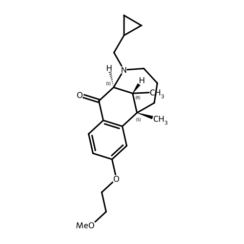 COCCOc1ccc2c(c1)[C@@]1(C)CCCN(CC3CC3)[C@H](C2=O)[C@@H]1C